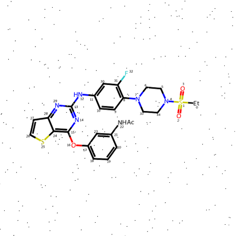 CCS(=O)(=O)N1CCN(c2ccc(Nc3nc(Oc4cccc(NC(C)=O)c4)c4sccc4n3)cc2F)CC1